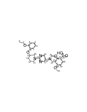 CCOc1ccccc1OC1CCCN(c2ncc(N(C=O)Cc3cc(C(=O)O)ccc3OC)cn2)C1